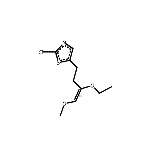 CCO/C(=C/OC)CCc1cnc(Cl)s1